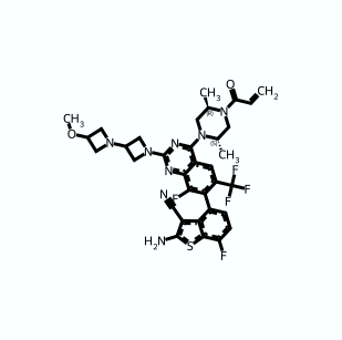 C=CC(=O)N1C[C@H](C)N(c2nc(N3CC(N4CC(OC)C4)C3)nc3c(F)c(-c4ccc(F)c5sc(N)c(C#N)c45)c(C(F)(F)F)cc23)C[C@H]1C